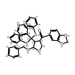 O=C(c1ccc2c(c1)OCO2)C1COC(OCc2ccccc2)C1C(Sc1ccccc1)(Sc1ccccc1)c1ccncc1